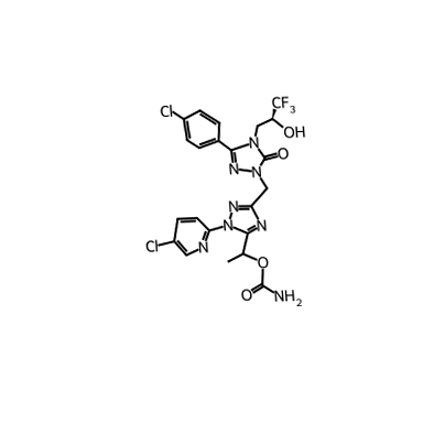 CC(OC(N)=O)c1nc(Cn2nc(-c3ccc(Cl)cc3)n(C[C@H](O)C(F)(F)F)c2=O)nn1-c1ccc(Cl)cn1